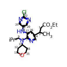 CCOC(=O)CC(C)c1cnc(N(CC(C)C)C2CCOCC2)c(Nc2cnc(Cl)nc2)c1